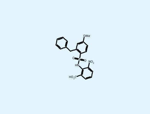 COc1ccc(S(=O)(=O)Nc2c(C(=O)O)cccc2[N+](=O)[O-])c(Cc2ccccc2)c1